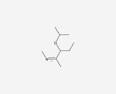 CCC(OC(C)C)/C(C)=N\C